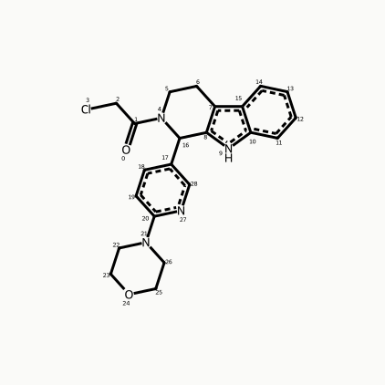 O=C(CCl)N1CCc2c([nH]c3ccccc23)C1c1ccc(N2CCOCC2)nc1